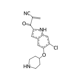 C=C(C#N)C(=O)c1cc2cc(OC3CCNCC3)c(Cl)cc2[nH]1